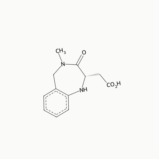 CN1Cc2ccccc2N[C@@H](CC(=O)O)C1=O